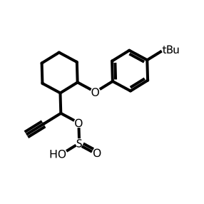 C#CC(OS(=O)O)C1CCCCC1Oc1ccc(C(C)(C)C)cc1